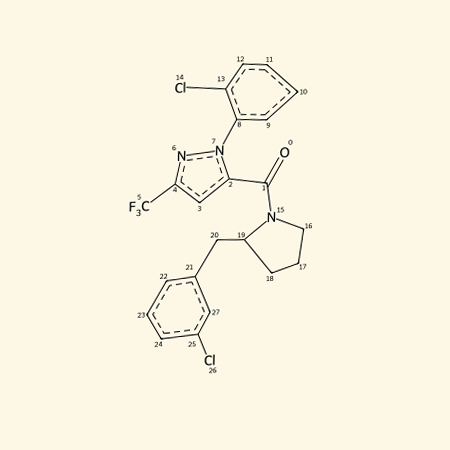 O=C(c1cc(C(F)(F)F)nn1-c1ccccc1Cl)N1CCCC1Cc1cccc(Cl)c1